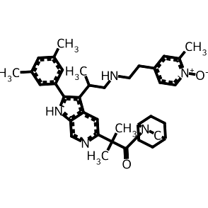 Cc1cc(C)cc(-c2[nH]c3cnc(C(C)(C)C(=O)N4CC5CCC4CC5)cc3c2C(C)CNCCc2cc[n+]([O-])c(C)c2)c1